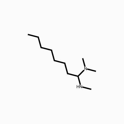 CCCCCCCC(NC)N(C)C